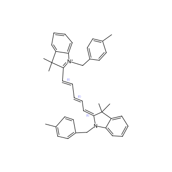 Cc1ccc(CN2/C(=C/C=C/C=C/C3=[N+](Cc4ccc(C)cc4)c4ccccc4C3(C)C)C(C)(C)c3ccccc32)cc1